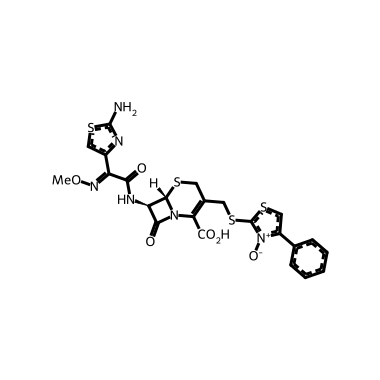 CON=C(C(=O)N[C@@H]1C(=O)N2C(C(=O)O)=C(CSc3scc(-c4ccccc4)[n+]3[O-])CS[C@@H]12)c1csc(N)n1